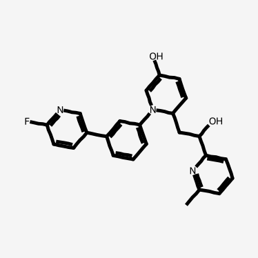 Cc1cccc(C(O)CC2C=CC(O)=CN2c2cccc(-c3ccc(F)nc3)c2)n1